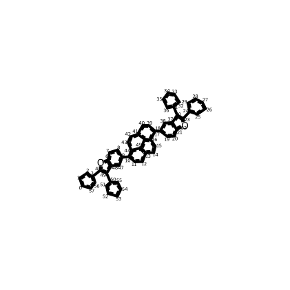 c1ccc(-c2oc3ccc(-c4ccc5ccc6c(-c7ccc8oc(-c9ccccc9)c(-c9ccccc9)c8c7)ccc7ccc4c5c76)cc3c2-c2ccccc2)cc1